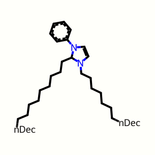 CCCCCCCCCCCCCCCCCCCC1N(CCCCCCCCCCCCCCCCC)C=CN1c1ccccc1